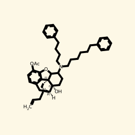 C=CCN1CC[C@]23c4c5ccc(OC(C)=O)c4OC2C(N(CCCCCCc2ccccc2)CCCCc2ccccc2)CC[C@@]3(O)[C@H]1C5